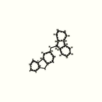 c1ccc2c(c1)Cc1ccc(Cn3c4ccccc4c4ccccc43)cc1-2